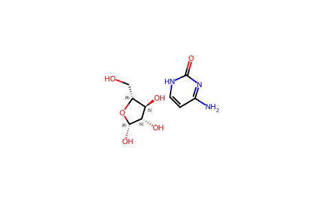 Nc1cc[nH]c(=O)n1.OC[C@H]1O[C@@H](O)[C@@H](O)[C@@H]1O